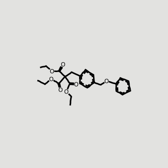 CCOC(=O)C(Cc1ccc(COc2ccccc2)cc1)(C(=O)OCC)C(=O)OCC